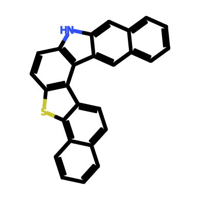 c1ccc2cc3c(cc2c1)[nH]c1ccc2sc4c5ccccc5ccc4c2c13